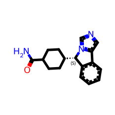 NC(=O)C1CCC([C@H]2c3ccccc3-c3cncn32)CC1